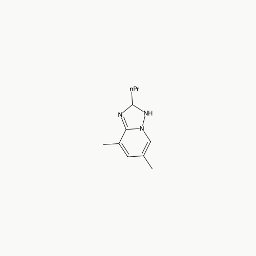 CCCC1N=C2C(C)=CC(C)=CN2N1